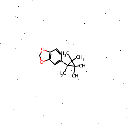 CC1(C)C(C)(C)C1(C)c1ccc2c(c1)OCO2